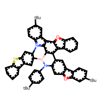 CC(C)(C)c1ccc(N2B3c4cc5c(cc4-n4c6ccc(C(C)(C)C)cc6c6c7oc8ccccc8c7c(c3c64)-c3cc4c(cc32)oc2cc(C(C)(C)C)ccc24)sc2ccccc25)cc1